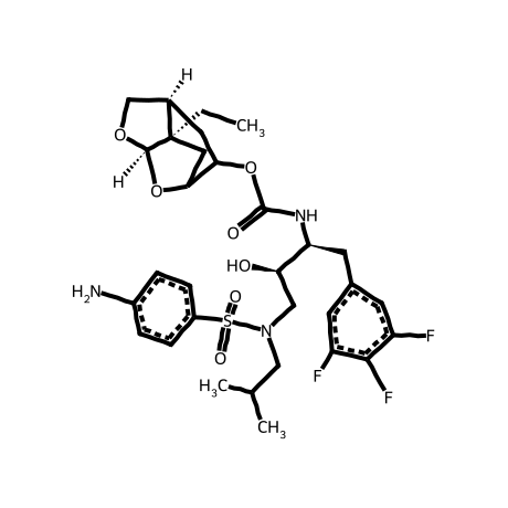 CC[C@]12CC3O[C@H]1OC[C@H]2CC3OC(=O)N[C@@H](Cc1cc(F)c(F)c(F)c1)[C@H](O)CN(CC(C)C)S(=O)(=O)c1ccc(N)cc1